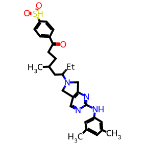 CCC(CC(C)CCC(=O)c1ccc([SH](=O)=O)cc1)N1Cc2cnc(Nc3cc(C)cc(C)c3)nc2C1